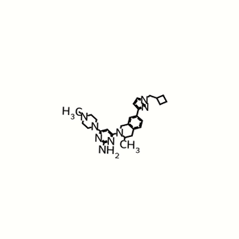 CC1Cc2ccc(-c3ccn(CC4CCC4)n3)cc2CN1c1cc(N2CCN(C)CC2)nc(N)n1